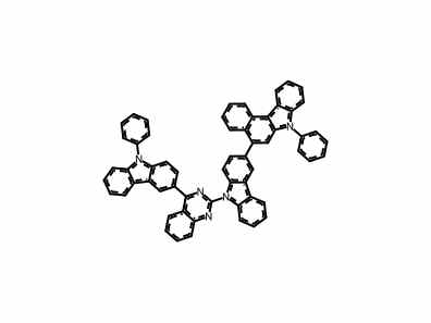 c1ccc(-n2c3ccccc3c3cc(-c4nc(-n5c6ccccc6c6cc(-c7cc8c(c9ccccc79)c7ccccc7n8-c7ccccc7)ccc65)nc5ccccc45)ccc32)cc1